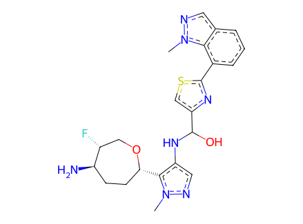 Cn1ncc(NC(O)c2csc(-c3cccc4cnn(C)c34)n2)c1[C@@H]1CC[C@@H](N)[C@H](F)CO1